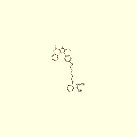 CCc1sc(N(C)Cc2ccccc2)nc1-c1ccc(OCCCCCOc2ccccc2C(=N)NO)cc1